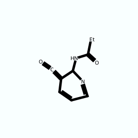 CCC(=O)NC1N=CC=CC1=C=O